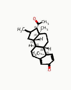 CC(=O)[C@H]1C(C)C[C@H]2[C@@H]3CCC4=CC(=O)C=C[C@]4(C)[C@H]3CC[C@]12C